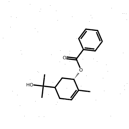 CC1=CCC(C(C)(C)O)C[C@@H]1OC(=O)c1ccccc1